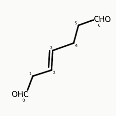 O=CCC=CCCC=O